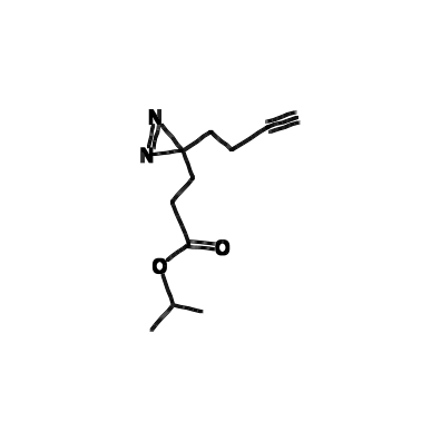 C#CCCC1(CCC(=O)OC(C)C)N=N1